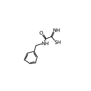 N=C(S)C(=O)NCc1ccccc1